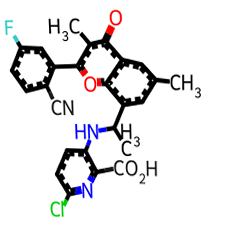 Cc1cc(C(C)Nc2ccc(Cl)nc2C(=O)O)c2oc(-c3cc(F)ccc3C#N)c(C)c(=O)c2c1